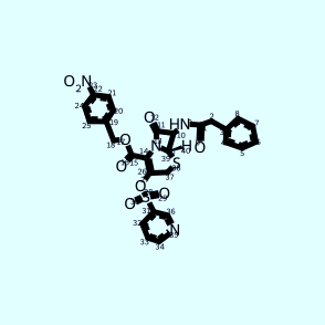 O=C(Cc1ccccc1)NC1C(=O)N2C(C(=O)OCc3ccc([N+](=O)[O-])cc3)=C(OS(=O)(=O)c3cccnc3)CS[C@@H]12